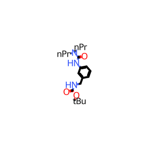 CCCN(CCC)C(=O)Nc1cccc(CNC(=O)OC(C)(C)C)c1